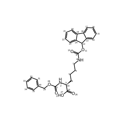 O=C(N[C@@H](CCCCNC(=O)OC1c2ccccc2-c2ccccc21)C(=O)O)OCc1ccccc1